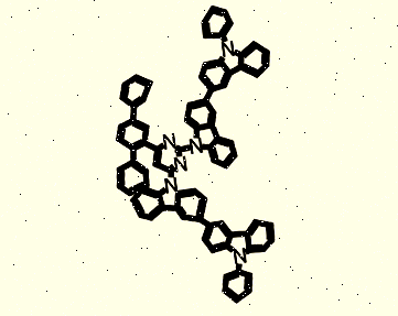 c1ccc(-c2ccc(-c3ccccc3)c(-c3cc(-n4c5ccccc5c5cc(-c6ccc7c(c6)c6ccccc6n7-c6ccccc6)ccc54)nc(-n4c5ccccc5c5cc(-c6ccc7c(c6)c6ccccc6n7-c6ccccc6)ccc54)n3)c2)cc1